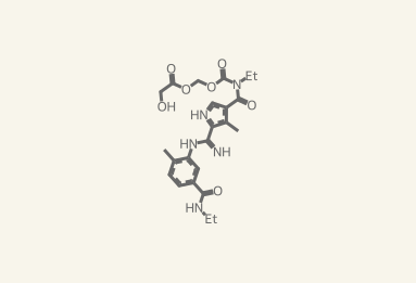 CCNC(=O)c1ccc(C)c(NC(=N)c2[nH]cc(C(=O)N(CC)C(=O)OCOC(=O)CO)c2C)c1